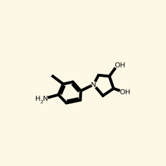 Cc1cc(N2CC(O)C(O)C2)ccc1N